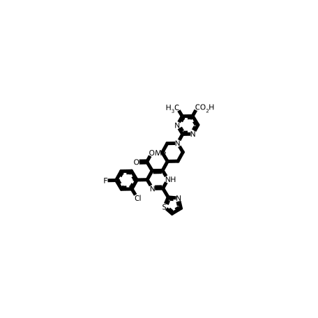 COC(=O)C1=C(C2CCN(c3ncc(C(=O)O)c(C)n3)CC2)NC(c2nccs2)=NC1c1ccc(F)cc1Cl